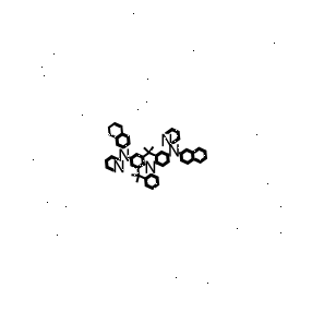 CC1(C)c2ccccc2N2c3ccc(N(c4ccc5ccccc5c4)c4ccccn4)cc3C(C)(C)c3cc(N(c4ccc5c(c4)CCC=C5)c4ccccn4)cc1c32